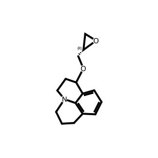 c1cc2c3c(c1)C(OC[C@@H]1CO1)CCN3CCC2